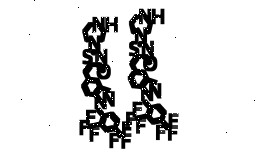 O=C1N=C(N2CCCNCC2)SC1=Cc1ccc2c(cnn2Cc2ccc(C(F)(F)F)cc2C(F)(F)F)c1.O=C1N=C(N2CCCNCC2)SC1=Cc1ccc2c(cnn2Cc2ccc(C(F)(F)F)cc2C(F)(F)F)c1